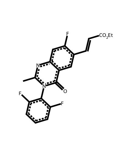 CCOC(=O)/C=C/c1cc2c(=O)n(-c3c(F)cccc3F)c(C)nc2cc1F